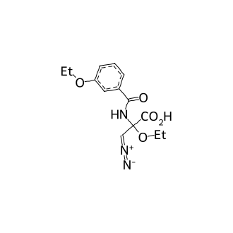 CCOc1cccc(C(=O)NC(C=[N+]=[N-])(OCC)C(=O)O)c1